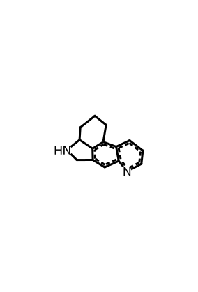 c1cnc2cc3c4c(c2c1)CCCC4NC3